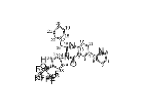 O=c1c2cc(-c3ccccn3)ccc2nc(Cc2ccccc2)n1-c1ccc(C(O)(C(F)(F)F)C(F)(F)F)cc1